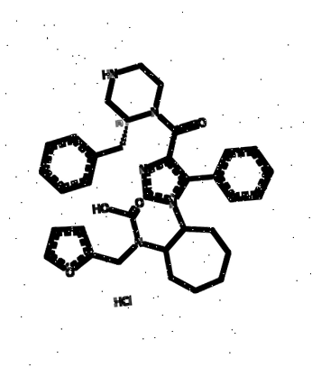 Cl.O=C(O)N(Cc1ccco1)C1CCCCCC1n1cnc(C(=O)N2CCNC[C@H]2Cc2ccccc2)c1-c1ccccc1